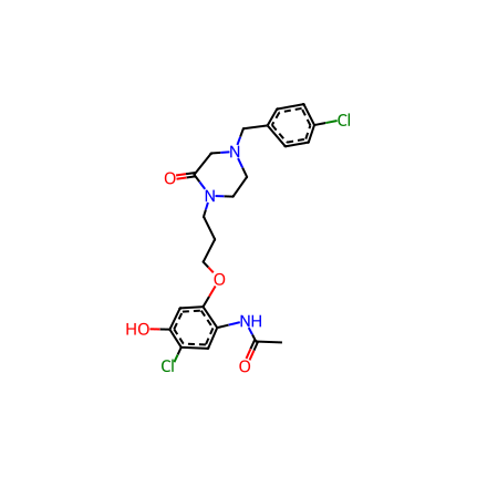 CC(=O)Nc1cc(Cl)c(O)cc1OCCCN1CCN(Cc2ccc(Cl)cc2)CC1=O